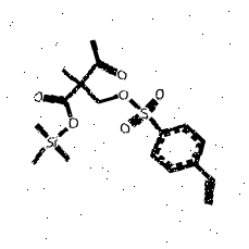 C=Cc1ccc(S(=O)(=O)OCC(C)(C(C)=O)C(=O)O[Si](C)(C)C)cc1